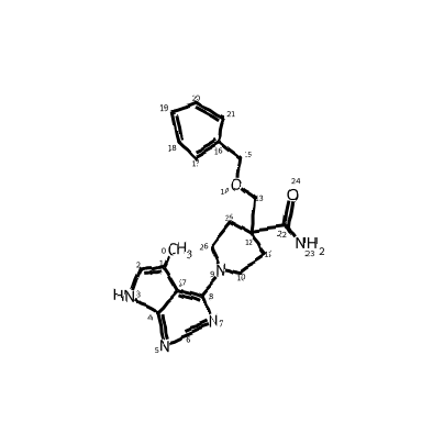 Cc1c[nH]c2ncnc(N3CCC(COCc4ccccc4)(C(N)=O)CC3)c12